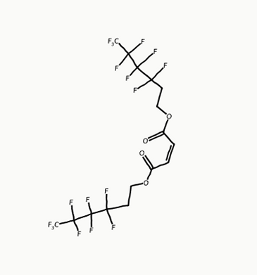 O=C(/C=C\C(=O)OCCC(F)(F)C(F)(F)C(F)(F)C(F)(F)F)OCCC(F)(F)C(F)(F)C(F)(F)C(F)(F)F